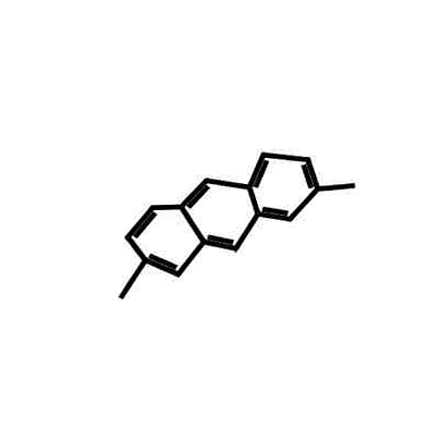 Cc1ccc2cc3ccc(C)cc3[c]c2c1